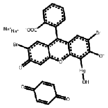 O=C([O-])c1ccccc1-c1c2cc(Br)c(=O)cc-2oc2[c]([Hg][OH])c([O-])c(Br)cc12.O=C1C=CC(=O)C=C1.[Na+].[Na+]